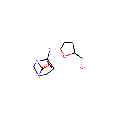 O=C1N2CC=C(N[C@@H]3CCC(CO)O3)N1C2